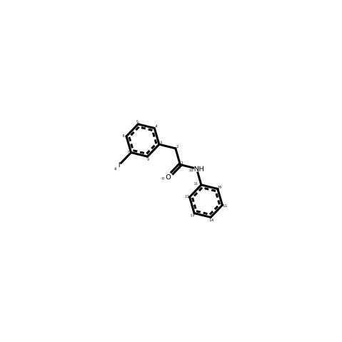 O=C(Cc1cccc(I)c1)Nc1ccccc1